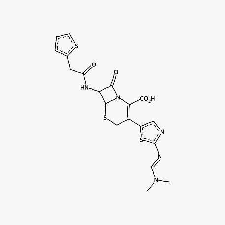 CN(C)C=Nc1ncc(C2=C(C(=O)O)N3C(=O)C(NC(=O)Cc4cccs4)C3SC2)s1